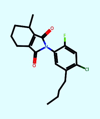 CCCCc1cc(N2C(=O)C3=C(C2=O)C(C)CCC3)c(F)cc1Cl